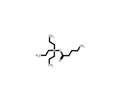 [CH2]CCCC(=O)O[Si](CCC)(CCC)CCC